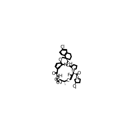 CO[C@@H]1CCN(C(=O)[C@H]2/C(F)=C/C[C@H](C)[C@@H](C)S(=O)(=O)NC(=O)c3ccc4c(c3)N(C[C@@H]3CCCN32)C[C@@]2(CCCc3cc(Cl)ccc32)CO4)C1